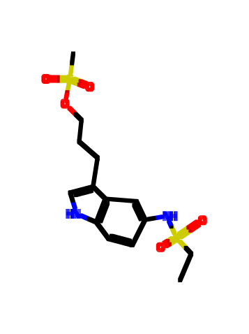 CCS(=O)(=O)Nc1ccc2[nH]cc(CCCOS(C)(=O)=O)c2c1